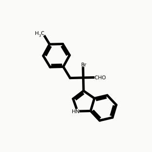 Cc1ccc(CC(Br)(C=O)c2c[nH]c3ccccc23)cc1